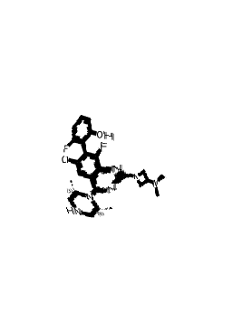 C[C@@H]1CNC[C@H](C)N1c1nc(N2CC(N(C)C)C2)nc2c(F)c(-c3c(O)cccc3F)c(Cl)cc12